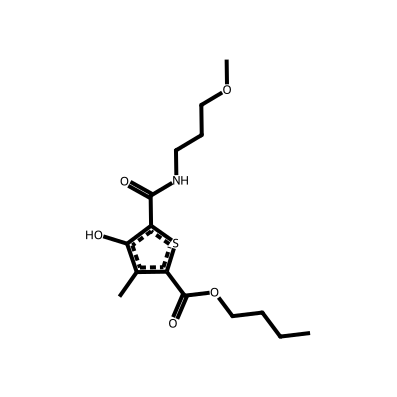 CCCCOC(=O)c1sc(C(=O)NCCCOC)c(O)c1C